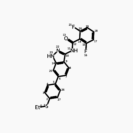 CCSc1ccc(-c2ccc3c(NC(=O)c4c(F)cccc4F)n[nH]c3c2)cc1